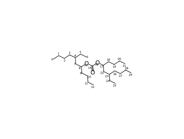 CCCCC(CC)CC(CCCC)OC(=O)OC(CCCC)CC(CC)CCCC